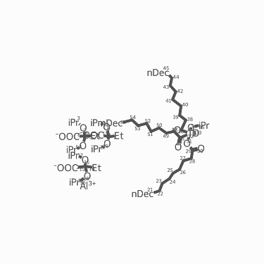 CCC(OC(C)C)(OC(C)C)C(=O)[O-].CCC(OC(C)C)(OC(C)C)C(=O)[O-].CCC(OC(C)C)(OC(C)C)C(=O)[O-].CCCCCCCCCCCCCCCCCC(=O)[O][Ti](=[O])([O]C(C)C)([C](=O)CCCCCCCCCCCCCCCCC)[C](=O)CCCCCCCCCCCCCCCCC.[Al+3]